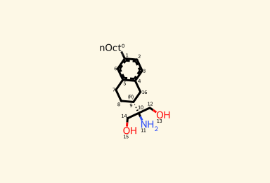 CCCCCCCCc1ccc2c(c1)CC[C@@H](C(N)(CO)CO)C2